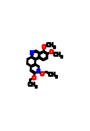 CCOC1=CC2=C(CN1OCC)c1c(ncc3c(OC)c(OC)ccc13)CC2